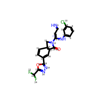 N=C/C=C(\Nc1cccc(Cl)c1)N1Cc2ccc(-c3nnc(C(F)F)o3)cc2C1=O